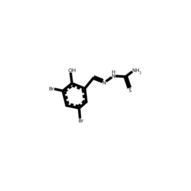 NC(=S)NN=Cc1cc(Br)cc(Br)c1O